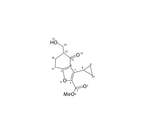 COC(=O)c1oc2c(c1C1CC1)C(=O)C(CO)CC2